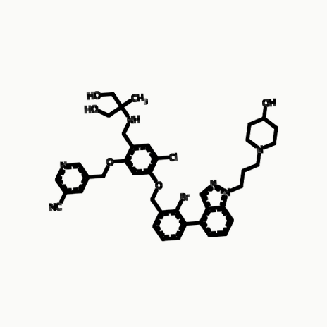 CC(CO)(CO)NCc1cc(Cl)c(OCc2cccc(-c3cccc4c3cnn4CCCN3CCC(O)CC3)c2Br)cc1OCc1cncc(C#N)c1